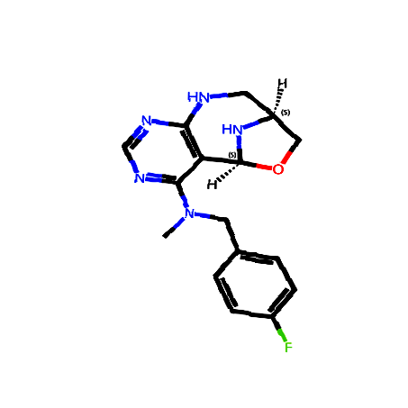 CN(Cc1ccc(F)cc1)c1ncnc2c1[C@H]1N[C@@H](CN2)CO1